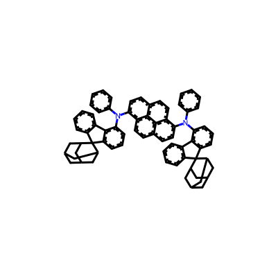 c1ccc(N(c2cccc3c2-c2ccccc2C32C3CC4CC(C3)CC2C4)c2ccc3ccc4c(N(c5ccccc5)c5cccc6c5-c5ccccc5C65C6CC7CC(C6)CC5C7)ccc5ccc2c3c54)cc1